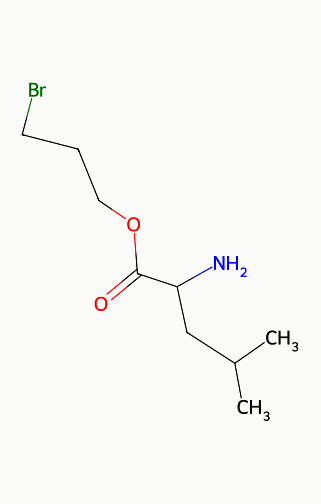 CC(C)CC(N)C(=O)OCCCBr